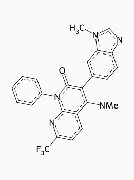 CNc1c(-c2ccc3ncn(C)c3c2)c(=O)n(-c2ccccc2)c2nc(C(F)(F)F)ccc12